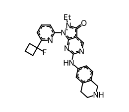 CCn1c(=O)c2cnc(Nc3ccc4c(c3)CCNC4)nc2n1-c1cccc(C2(F)CCC2)n1